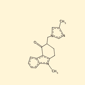 Cc1cn(CC2CCc3c(c4ccccc4n3C)C2=O)cn1